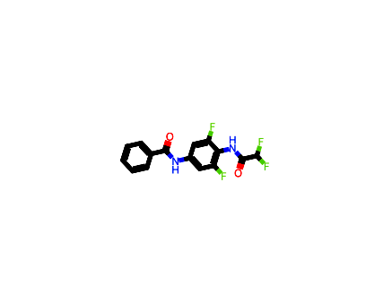 O=C(Nc1cc(F)c(NC(=O)C(F)F)c(F)c1)c1ccccc1